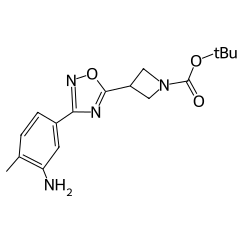 Cc1ccc(-c2noc(C3CN(C(=O)OC(C)(C)C)C3)n2)cc1N